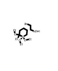 CCCCCCCCCCCCBr.CCOC1(CC)CCCC[Si]1(OCC)OCC